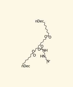 CCCCCCCCCCCCCCCCCC(=O)OCCCCC(CCCCOC(=O)CCCCCCCCCCCCCCCCC)OC(=O)NCCNCCN(C)C